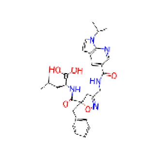 CC(C)C[C@H](NC(=O)C1(Cc2ccccc2)CC(CNC(=O)c2cnc3c(ccn3C(C)C)c2)=NO1)B(O)O